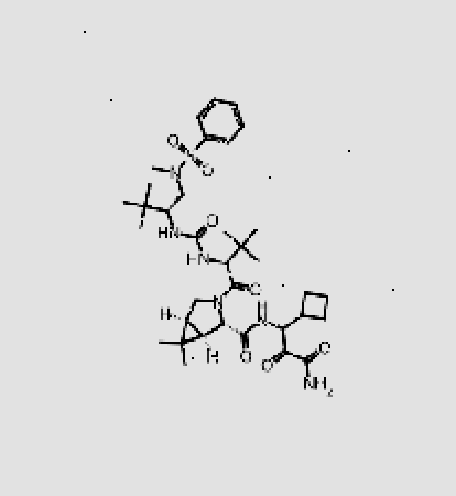 CN(C[C@@H](NC(=O)N[C@H](C(=O)N1C[C@H]2[C@@H]([C@H]1C(=O)NC(C(=O)C(N)=O)C1CCC1)C2(C)C)C(C)(C)C)C(C)(C)C)S(=O)(=O)c1ccccc1